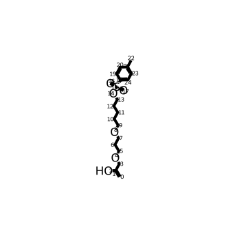 C=C(O)COCCCOCCCCCOS(=O)(=O)c1ccc(C)cc1